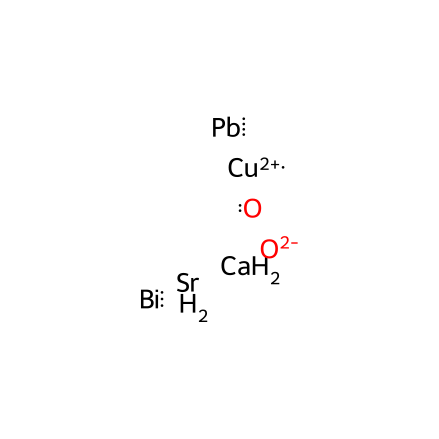 [Bi].[CaH2].[Cu+2].[O-2].[O].[Pb].[SrH2]